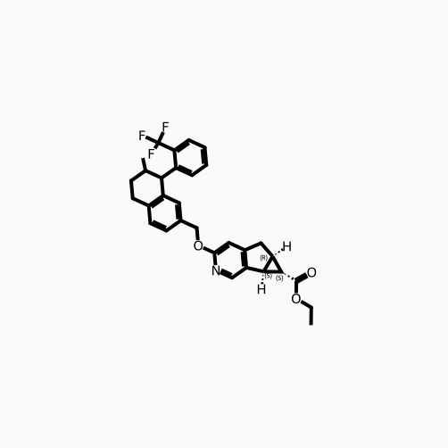 CCOC(=O)[C@H]1[C@@H]2Cc3cc(OCc4ccc5c(c4)C(c4ccccc4C(F)(F)F)C(C)CC5)ncc3[C@@H]21